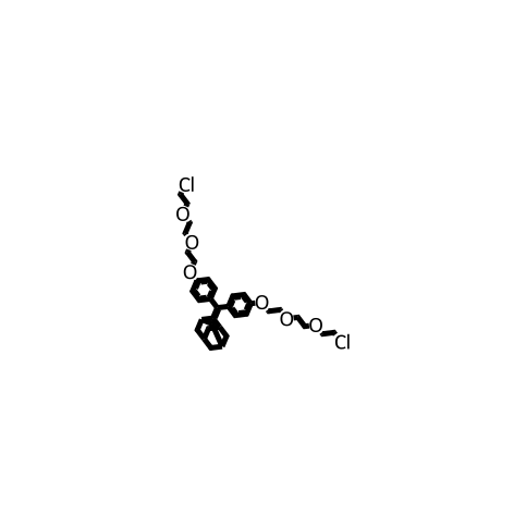 ClCCOCCOCCOc1ccc(C(=C2C3CC4CC(C3)CC2C4)c2ccc(OCCOCCOCCCl)cc2)cc1